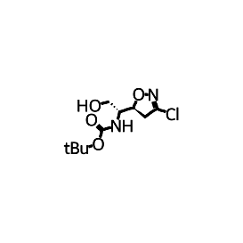 CC(C)(C)OC(=O)N[C@H](CO)[C@@H]1CC(Cl)=NO1